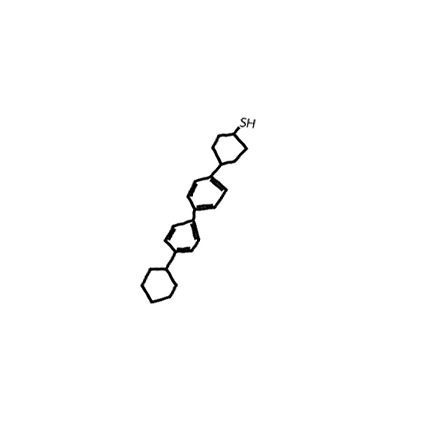 SC1CCC(c2ccc(-c3ccc(C4CCCCC4)cc3)cc2)CC1